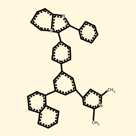 Cc1cc(-c2cc(-c3ccc(-c4c(-c5ccccc5)nc5ccccn45)cc3)cc(-c3cccc4ccccc34)c2)cc(C)n1